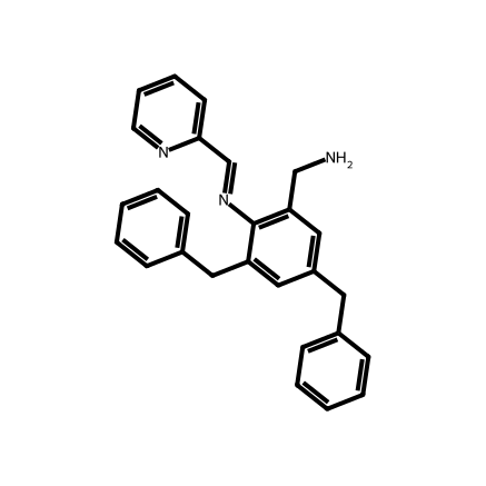 NCc1cc(Cc2ccccc2)cc(Cc2ccccc2)c1N=Cc1ccccn1